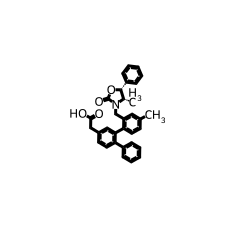 Cc1ccc(-c2cc(CC(=O)O)ccc2-c2ccccc2)c(CN2C(=O)O[C@H](c3ccccc3)[C@@H]2C)c1